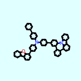 c1ccc(-c2ccc(N(c3ccc(-c4ccc5c(c4)-c4ccccc4-c4cccc6c7ccccc7n-5c46)cc3)c3ccc(-c4cccc5c4oc4ccccc45)cc3)cc2)cc1